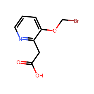 O=C(O)Cc1ncccc1OCBr